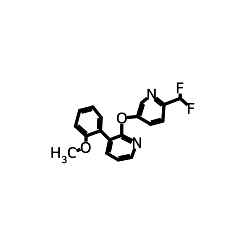 COc1ccccc1-c1cccnc1Oc1ccc(C(F)F)nc1